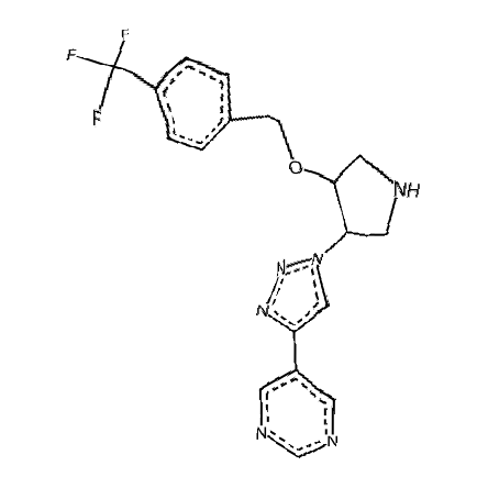 FC(F)(F)c1ccc(COC2CNCC2n2cc(-c3cncnc3)nn2)cc1